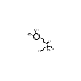 O=[C]CC(O)([C]=O)C(=O)C=Cc1ccc(O)c(O)c1